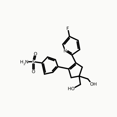 NS(=O)(=O)c1ccc(C2=C(c3ccc(F)cn3)CC(CO)(CO)C2)cc1